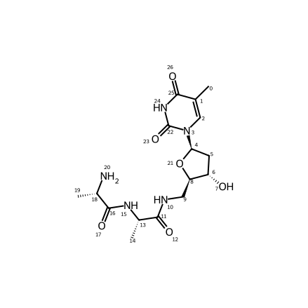 Cc1cn([C@H]2C[C@H](O)[C@@H](CNC(=O)[C@H](C)NC(=O)[C@H](C)N)O2)c(=O)[nH]c1=O